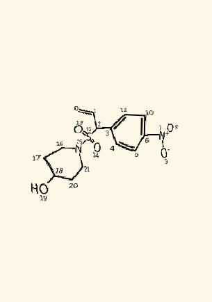 C=CC(c1ccc([N+](=O)[O-])cc1)S(=O)(=O)N1CCC(O)CC1